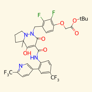 CC(C)(C)OC(=O)COc1ccc(CN2C(=O)C(C(=O)Nc3ccc(C(F)(F)F)cc3-c3ccc(C(F)(F)F)nc3)=C(O)C3(C)CCCN23)c(F)c1F